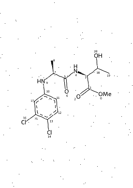 COC(=O)[C@@H](NC(=O)[C@H](C)Nc1ccc(Cl)c(Cl)c1)C(C)O